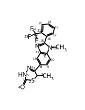 CC1SC(=O)NN=C1c1ccc2c(c1)nc(-c1ccccc1C(F)(F)F)n2C